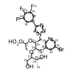 CC(O[C@@H](Cn1cc(-c2cc(F)c(F)c(F)c2)nn1)C(OC(CO)[C@@H](C)O)Sc1cncc(Br)c1)C(=O)O